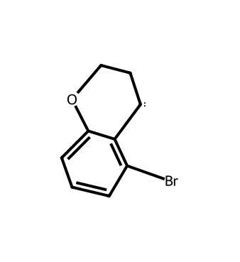 Brc1cccc2c1[C]CCO2